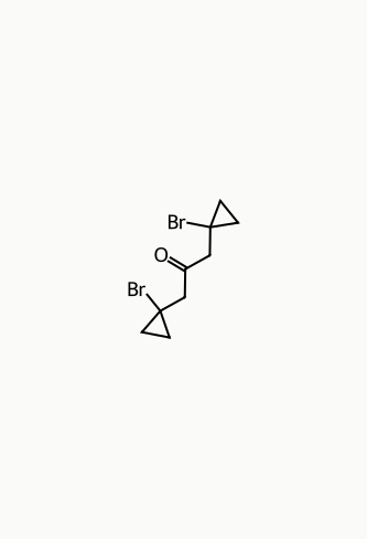 O=C(CC1(Br)CC1)CC1(Br)CC1